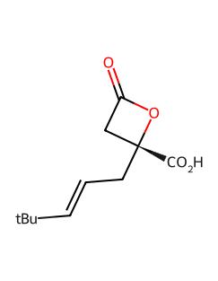 CC(C)(C)/C=C/C[C@]1(C(=O)O)CC(=O)O1